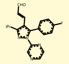 CC(C)c1nn(-c2cnccn2)c(-c2ccc(F)cc2)c1C=CC=O